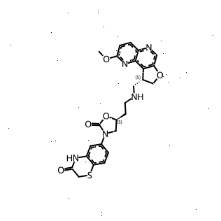 COc1ccc2ncc3c(c2n1)[C@@H](CNCC[C@H]1CN(c2ccc4c(c2)NC(=O)CS4)C(=O)O1)CO3